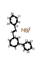 Br.C(=Cc1cccc(-c2ccccc2)c1)c1ccccc1